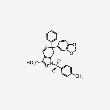 Cc1ccc(S(=O)(=O)n2nc(C(=O)O)c3c2CC(c2ccccc2)(c2ccc4c(c2)OCO4)C=C3)cc1